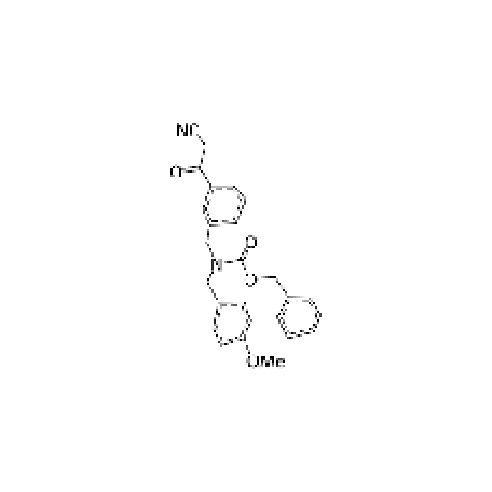 COc1ccc(CN(Cc2cccc(C(=O)CC#N)c2)C(=O)OCc2ccccc2)cc1